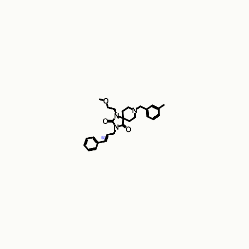 COCCN1C(=O)N(C/C=C/c2ccccc2)C(=O)C12CCN(Cc1cccc(C)c1)CC2